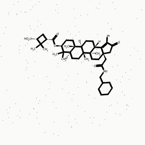 CC(C)C1=C2[C@H]3CC[C@@H]4[C@@]5(C)CC[C@H](OC(=O)[C@H]6C[C@@H](C(=O)O)C6(C)C)C(C)(C)[C@@H]5CC[C@@]4(C)[C@]3(C)CC[C@@]2(CC(=O)NCC2CCCCC2)CC1=O